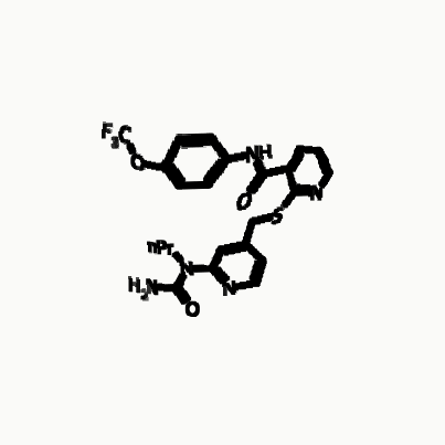 CCCN(C(N)=O)c1cc(CSc2ncccc2C(=O)Nc2ccc(OC(F)(F)F)cc2)ccn1